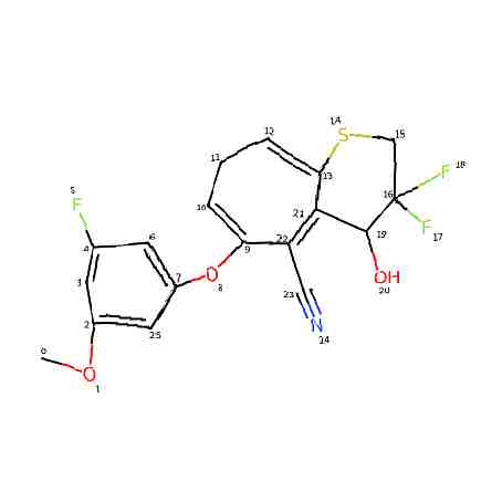 COc1cc(F)cc(OC2=CCC=C3SCC(F)(F)C(O)C3=C2C#N)c1